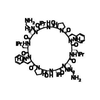 CC(C)CC1NC(=O)[C@H](CCCN)N(N)C(=O)[C@H](C(C)C)NC(=O)[C@@H]2CCCN2C(=O)[C@@H](Cc2ccccc2)N(N)C(=O)[C@H](CC(C)C)NC(=O)[C@H](CCCN)N(N)C(=O)[C@H](C(C)C)NC(=O)[C@@H]2CCCN2C(=O)[C@@H](Cc2ccccc2)N(N)C1=O